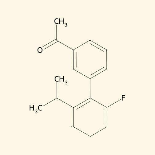 CC(=O)c1cccc(C2=C(C(C)C)[CH]CC=C2F)c1